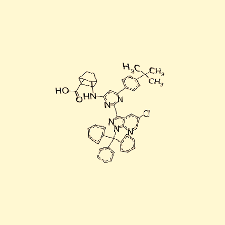 CC(C)(C)c1ccc(-c2cc(NC3C4CCC(CC4)C3C(=O)O)nc(-c3nn(C(c4ccccc4)(c4ccccc4)c4ccccc4)c4ncc(Cl)cc34)n2)cc1